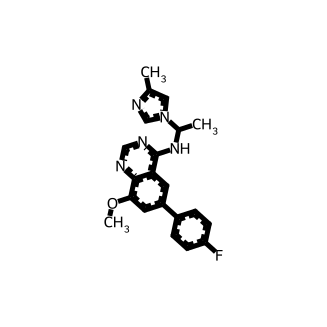 COc1cc(-c2ccc(F)cc2)cc2c(NC(C)n3cnc(C)c3)ncnc12